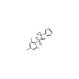 Cc1cc(C)c(S(=O)(=O)NC2(c3ccccc3)CC2)c(C)c1